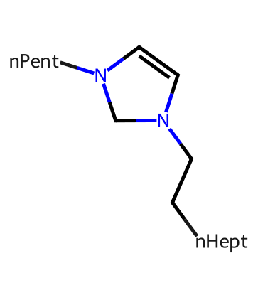 CCCCCCCCCN1C=CN(CCCCC)C1